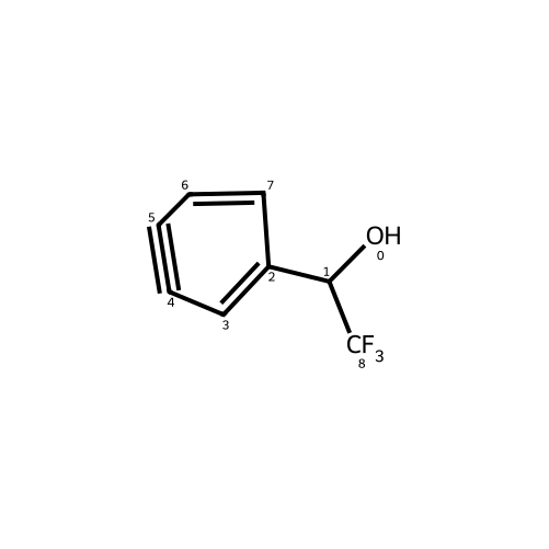 OC(c1cc#ccc1)C(F)(F)F